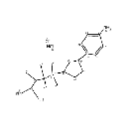 CCCC(N)C(C)C(C)(C)[N+](C)(C)C1CCN(c2ccc(N)cc2)C1.Cl.[Cl-]